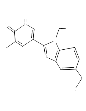 CCn1c(-c2c[nH]c(=O)c(C)c2)nc2cc(CO)ccc21